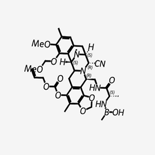 C=CCOC(=O)Oc1c(C)c2c(c3c1CC1[C@@H]4c5c(cc(C)c(OC)c5OCOC)C[C@@H]([C@H](C#N)N1[C@H]3CNC(=O)[C@H](C)NB(C)O)N4C)OCO2